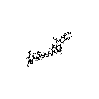 CCOc1cc(N)c(Cl)cc1C(=O)NC1CCN(CCCCCC(=O)Nc2cc(C)cc(C)n2)CC1OC